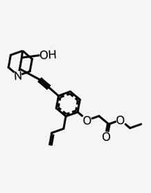 C=CCc1cc(C#CC2C(O)C3CCN2CC3)ccc1OCC(=O)OCC